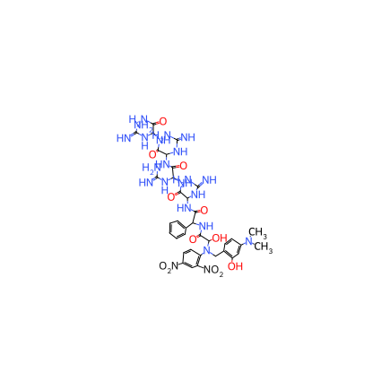 CN(C)c1ccc(CN(c2ccc([N+](=O)[O-])cc2[N+](=O)[O-])C(O)C(=O)NC(C(=O)NC(NC(=N)N)C(=O)NC(NC(=N)N)C(=O)NC(NC(=N)N)C(=O)NC(NC(=N)N)C(N)=O)c2ccccc2)c(O)c1